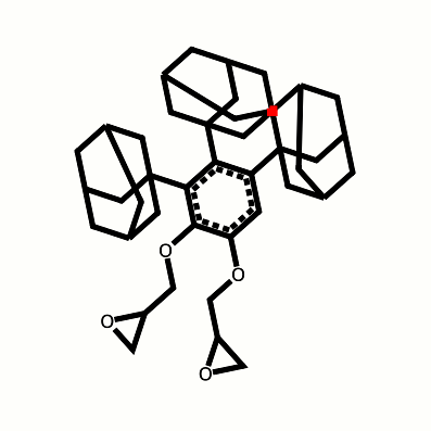 c1c(OCC2CO2)c(OCC2CO2)c(C23CC4CC(CC(C4)C2)C3)c(C23CC4CC(CC(C4)C2)C3)c1C12CC3CC(CC(C3)C1)C2